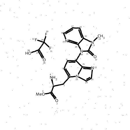 COC(=O)[C@@H](N)Cc1ccc(-n2c(=O)n(C)c3cccnc32)c2nccn12.O=C(O)C(F)(F)F